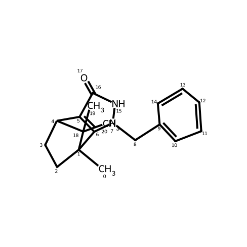 CC12CCC(c3c1n(Cc1ccccc1)[nH]c3=O)C2(C)C